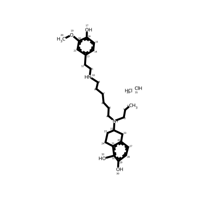 CCCN(CCCCCCNCCc1ccc(O)c(OC)c1)C1CCc2c(ccc(O)c2O)C1.Cl.Cl